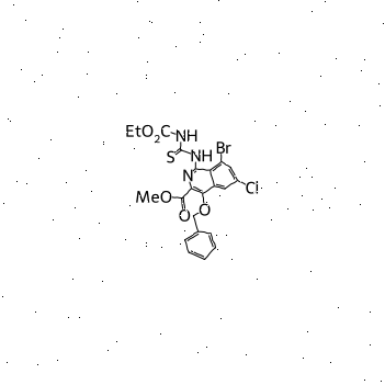 CCOC(=O)NC(=S)Nc1nc(C(=O)OC)c(OCc2ccccc2)c2cc(Cl)cc(Br)c12